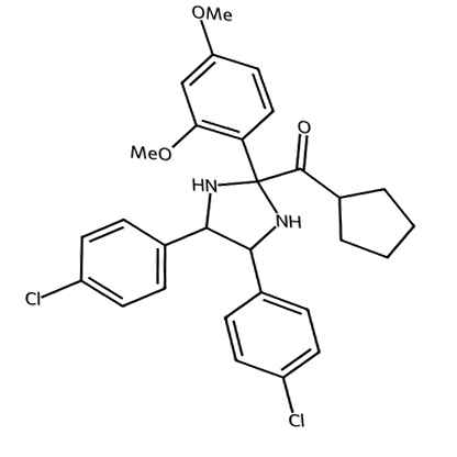 COc1ccc(C2(C(=O)C3CCCC3)NC(c3ccc(Cl)cc3)C(c3ccc(Cl)cc3)N2)c(OC)c1